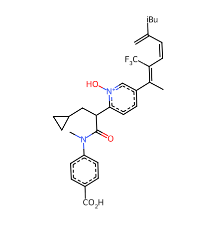 C=C(/C=C\C(=C(/C)c1ccc(C(CC2CC2)C(=O)N(C)c2ccc(C(=O)O)cc2)[n+](O)c1)C(F)(F)F)C(C)CC